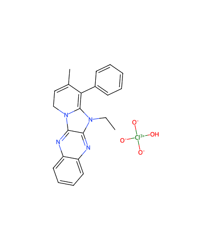 CCN1C2=C(c3ccccc3)C(C)=CCN2c2nc3ccccc3nc21.[O-][Cl+3]([O-])([O-])O